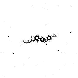 CC(C)(C)[C@H]1CC[C@H](Oc2ccc(-c3cccc(CNCC(=O)O)c3F)cc2)CC1